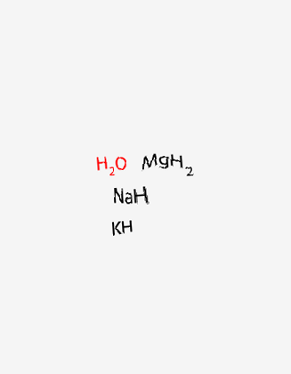 O.[KH].[MgH2].[NaH]